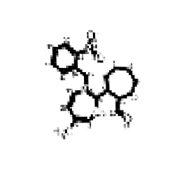 CC1=COC(C2CCCCCC2C=O)N(Cc2ccccc2[N+](=O)[O-])C=C1